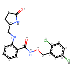 O=C1CC[C@H](CNc2ccccc2C(=O)NOCc2cc(Cl)ccc2Cl)N1